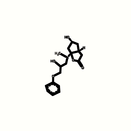 CN(CC(O)COc1ccccc1)[C@@]12C[C@@H](O)C[C@@H]1CC(=O)O2